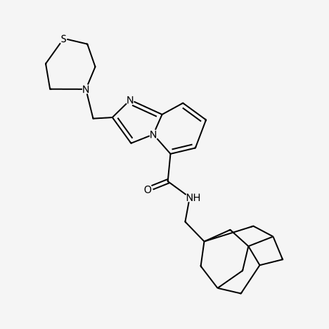 O=C(NCC12CC3CC4CC(C1)C4(C3)C2)c1cccc2nc(CN3CCSCC3)cn12